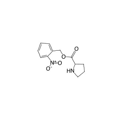 O=C(OCc1ccccc1[N+](=O)[O-])C1CCCN1